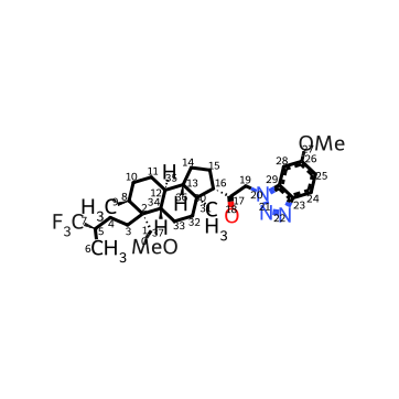 COC[C@]1(CC[C@@H](C)C(F)(F)F)[C@@H](C)CC[C@H]2[C@@H]3CC[C@H](C(=O)Cn4nnc5ccc(OC)cc54)[C@@]3(C)CC[C@@H]21